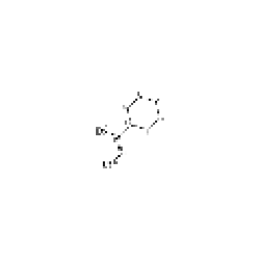 CCC=C(CC)N1CCCCC1